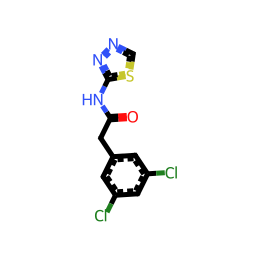 O=C(Cc1cc(Cl)cc(Cl)c1)Nc1nncs1